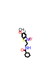 COc1ccc2c(c1)sc(CCNC(=O)C1CCCCC1)[n+]2[O-]